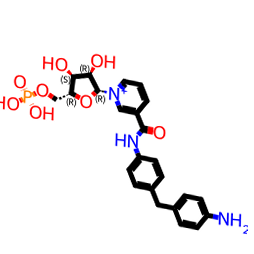 Nc1ccc(Cc2ccc(NC(=O)c3ccc[n+]([C@@H]4O[C@H](COP(=O)(O)O)[C@@H](O)[C@H]4O)c3)cc2)cc1